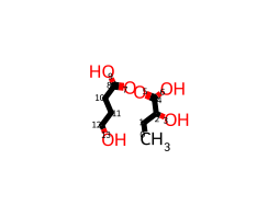 CCC(O)C(=O)O.O=C(O)CCCO